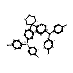 Cc1ccc(C(c2ccc(C)cc2)c2ccc(C3(c4ccc(N(c5ccc(C)cc5)c5ccc(C)cc5)cc4)CCCCC3)cc2)cc1